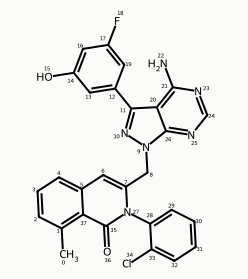 Cc1cccc2cc(Cn3nc(-c4cc(O)cc(F)c4)c4c(N)ncnc43)n(-c3ccccc3Cl)c(=O)c12